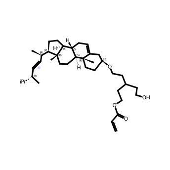 C=CC(=O)OCCC(CCO)CCO[C@H]1CC[C@@]2(C)C(=CC[C@H]3[C@@H]4CC[C@H]([C@H](C)/C=C/[C@H](C)C(C)C)[C@@]4(C)CC[C@@H]32)C1